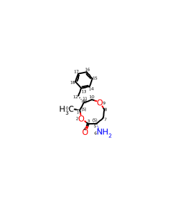 C[C@@H]1OC(=O)[C@@H](N)CCOC[C@H]1Cc1ccccc1